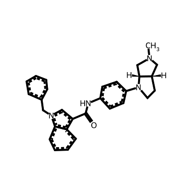 CN1C[C@@H]2CCN(c3ccc(NC(=O)c4cn(Cc5ccccc5)c5ccccc45)cc3)[C@@H]2C1